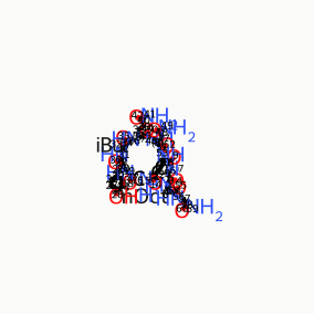 CCCCCCCC[C@H](NC(=O)CN(C)C(=O)[C@@H]1CCC(=O)NCC(=O)N[C@@H](Cc2ccc(O)cc2)C(=O)NC(C(C)CC)C(=O)N[C@@H](CCC(N)=O)C(=O)N[C@@H](CC(N)=O)C(=O)N1)C(=O)NCC(N)=O